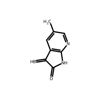 B=C1C(=O)Nc2ncc(C)cc21